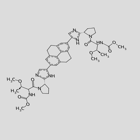 COC(=O)NC(C(=O)N1CCC[C@H]1c1ncc(-c2cc3c4c(c2)CCc2cc(-c5cnc([C@@H]6CCCN6C(=O)C(NC(=O)OC)[C@@H](C)OC)[nH]5)cc(c2-4)CC3)[nH]1)[C@@H](C)OC